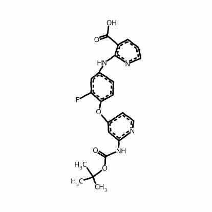 CC(C)(C)OC(=O)Nc1cc(Oc2ccc(Nc3ncccc3C(=O)O)cc2F)ccn1